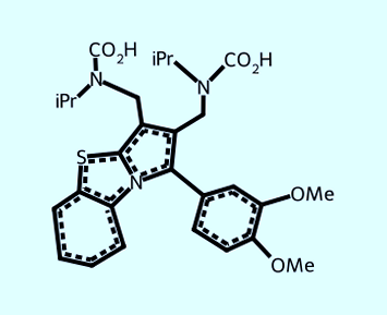 COc1ccc(-c2c(CN(C(=O)O)C(C)C)c(CN(C(=O)O)C(C)C)c3sc4ccccc4n23)cc1OC